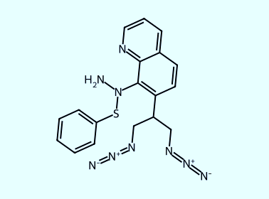 [N-]=[N+]=NCC(CN=[N+]=[N-])c1ccc2cccnc2c1N(N)Sc1ccccc1